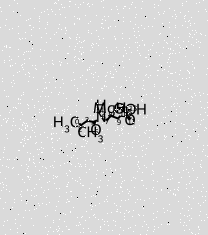 CC(C)CC(=O)NCCCS(=O)(=O)O.[MgH2]